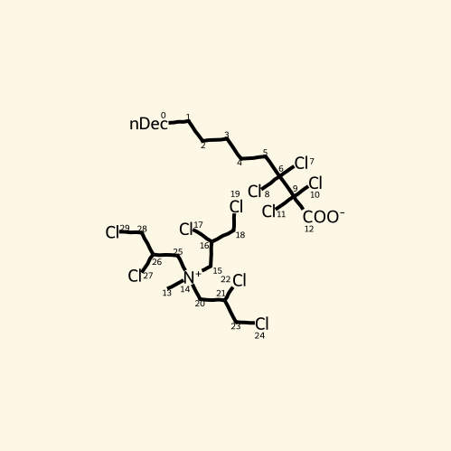 CCCCCCCCCCCCCCCC(Cl)(Cl)C(Cl)(Cl)C(=O)[O-].C[N+](CC(Cl)CCl)(CC(Cl)CCl)CC(Cl)CCl